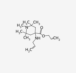 C=CCNC1(C(=O)OCC=C)CC(C)(C)N(C)C(C)(C)C1